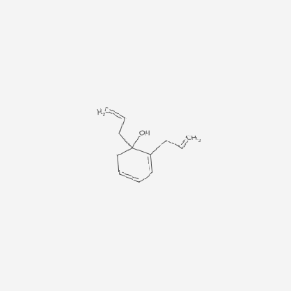 C=CCC1=CC=CCC1(O)CC=C